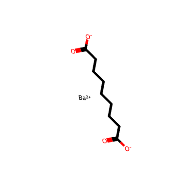 O=C([O-])CCCCCCCC(=O)[O-].[Ba+2]